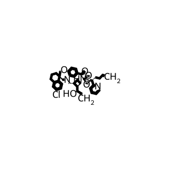 C=CCC[C@H](c1ccccn1)S(=O)(=O)NC(=O)c1ccc2c(c1)N(C[C@@H]1CC[C@H]1[C@@H](O)C=C)C[C@@]1(CCCc3cc(Cl)ccc31)CO2